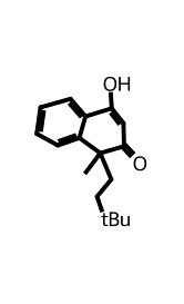 CC(C)(C)CCC1(C)C(=O)C=C(O)c2ccccc21